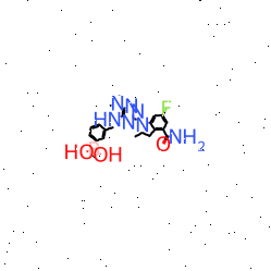 CC1Cc2c(C(N)=O)cc(F)cc2N1c1nnc(N(C)C)c(NCc2cccc(B(O)O)c2)n1